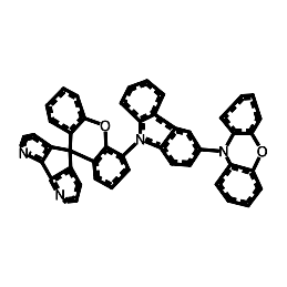 c1ccc2c(c1)Oc1ccccc1N2c1ccc2c(c1)c1ccccc1n2-c1cccc2c1Oc1ccccc1C21c2cccnc2-c2ncccc21